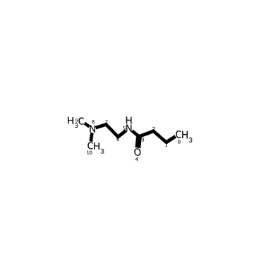 CCCC(=O)NCCN(C)C